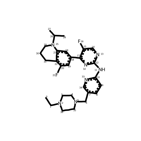 CCN1CCN(Cc2ccc(Nc3ncc(F)c(-c4cc(F)c5c(c4)N(C(C)C)CCC5)n3)nc2)CC1